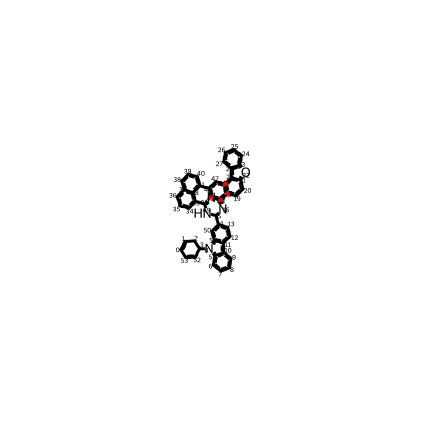 C1=CCC(n2c3ccccc3c3ccc(C4N=C(c5ccc6oc7ccccc7c6c5)N=C(c5cccc6cccc(-c7ccccc7)c56)N4)cc32)C=C1